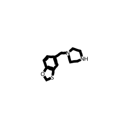 c1cc2c(cc1CN1CCNCC1)SCO2